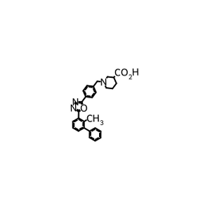 Cc1c(-c2ccccc2)cccc1-c1nnc(-c2ccc(CN3CCCC(C(=O)O)C3)cc2)o1